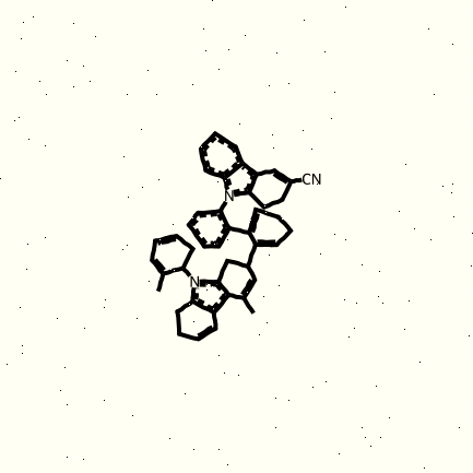 CC1=CC(C2=CCCC=C2c2ccccc2-n2c3c(c4ccccc42)C=C(C#N)CC3)Cc2c1c1c(n2C2CC=CC=C2C)CCC=C1